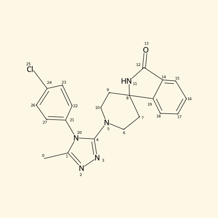 Cc1nnc(N2CCC3(CC2)NC(=O)c2ccccc23)n1-c1ccc(Cl)cc1